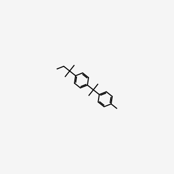 CCC(C)(C)c1ccc(C(C)(C)c2ccc(C)cc2)cc1